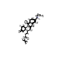 CC(C)(C)OC(=O)CCCCc1nc2cc(/C=N/O)ccc2c(=O)n1-c1ccc(F)cc1